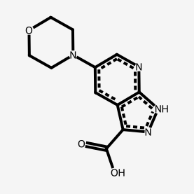 O=C(O)c1n[nH]c2ncc(N3CCOCC3)cc12